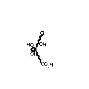 O=C(O)CCCCCC[C@@H]1[C@@H](C=CC(O)CCCCCl)[C@H](O)C[C@@H]1O